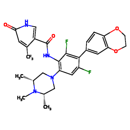 C[C@@H]1CN(c2cc(F)c(-c3ccc4c(c3)OCCO4)c(F)c2NC(=O)c2c[nH]c(=O)cc2C(F)(F)F)C[C@H](C)N1C